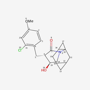 COc1ccc(C[C@@H]2C(=O)N(C34CC5CC5CC3C4)C[C@H]2O)c(Cl)c1